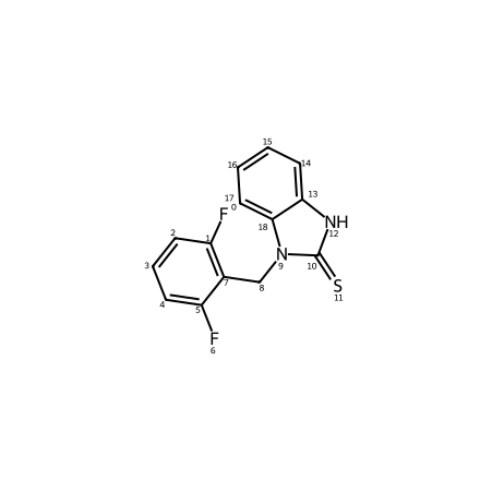 Fc1cccc(F)c1Cn1c(=S)[nH]c2ccccc21